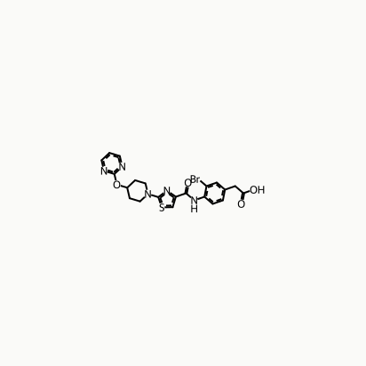 O=C(O)Cc1ccc(NC(=O)c2csc(N3CCC(Oc4ncccn4)CC3)n2)c(Br)c1